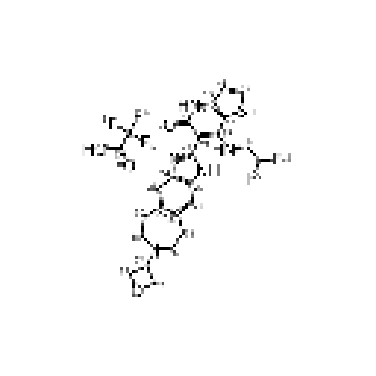 O=C(O)C(F)(F)F.O=c1[nH]c2ccsc2c(NCC(F)F)c1-c1nc2cc3c(cc2[nH]1)CCN(C1COC1)CC3